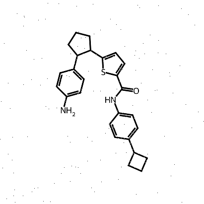 Nc1ccc(C2CCCC2c2ccc(C(=O)Nc3ccc(C4CCC4)cc3)s2)cc1